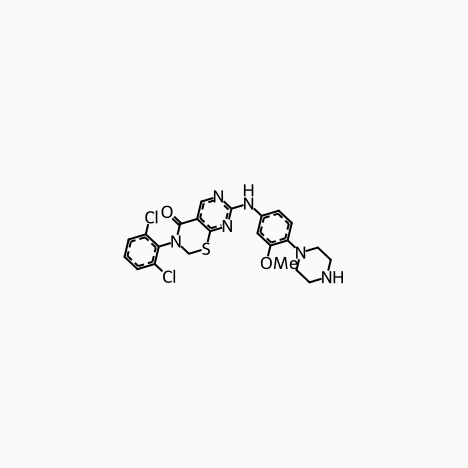 COc1cc(Nc2ncc3c(n2)SCN(c2c(Cl)cccc2Cl)C3=O)ccc1N1CCNCC1